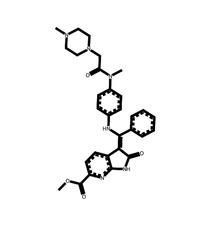 COC(=O)c1ccc2c(n1)NC(=O)C2=C(Nc1ccc(N(C)C(=O)CN2CCN(C)CC2)cc1)c1ccccc1